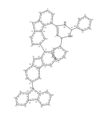 c1ccc(C2N=C(c3cccc4sc5ccc(-c6cccc7c6sc6ccc(-n8c9ccccc9c9ccccc98)cc67)cc5c34)NC(c3ccccc3)N2)cc1